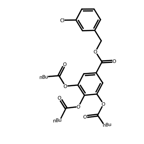 CCCCC(=O)Oc1cc(C(=O)OCc2cccc(Cl)c2)cc(OC(=O)CCCC)c1OC(=O)CCCC